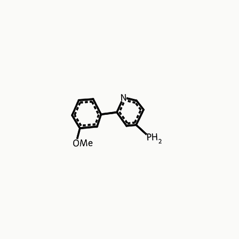 COc1cccc(-c2cc(P)ccn2)c1